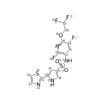 O=S(=O)(Nc1cc(F)c(OCC(F)F)nc1F)c1c[nH]c(-c2nccs2)c1